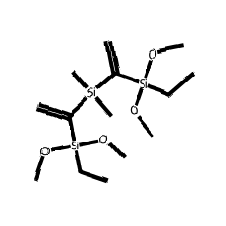 C=C([Si](CC)(OC)OC)[Si](C)(C)C(=C)[Si](CC)(OC)OC